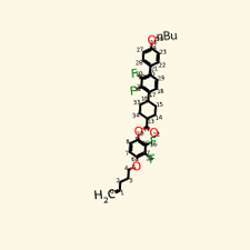 C=CCCCOc1ccc(OC(=O)C2CCC(c3ccc(-c4ccc(OCCCC)cc4)c(F)c3F)CC2)c(F)c1F